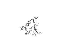 CCOC(=O)C=C1CC2(C1)CN(C(=O)OC(C)(C)C)C2.CCOC(=O)C=C1CC2(CNC2)C1.O=C(O)C(F)(F)F